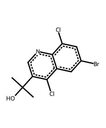 CC(C)(O)c1cnc2c(Cl)cc(Br)cc2c1Cl